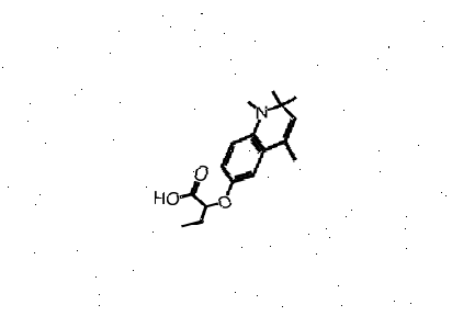 CCC(Oc1ccc2c(c1)C(C)=CC(C)(C)N2C)C(=O)O